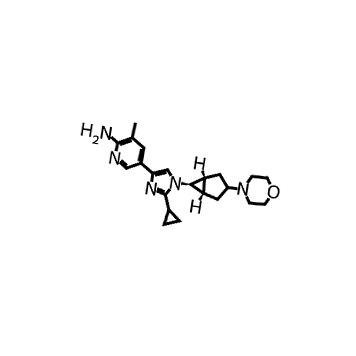 Cc1cc(-c2cn([C@H]3[C@@H]4CC(N5CCOCC5)C[C@@H]43)c(C3CC3)n2)cnc1N